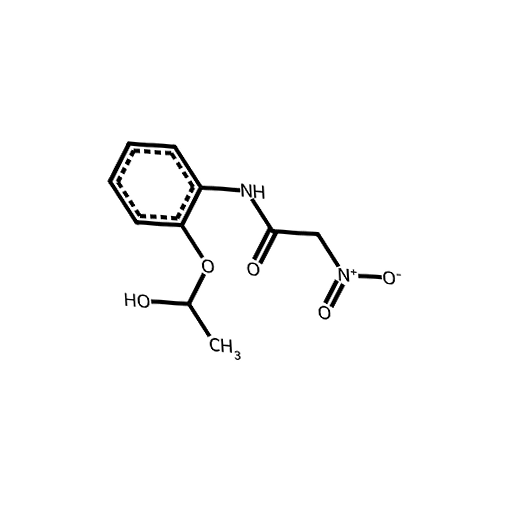 CC(O)Oc1ccccc1NC(=O)C[N+](=O)[O-]